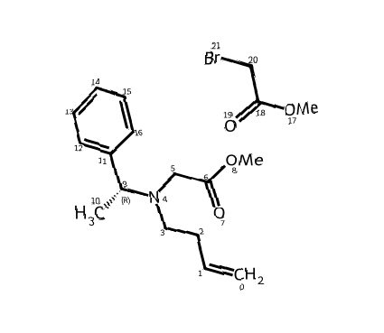 C=CCCN(CC(=O)OC)[C@H](C)c1ccccc1.COC(=O)CBr